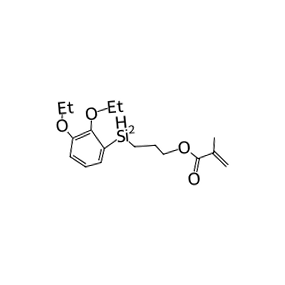 C=C(C)C(=O)OCCC[SiH2]c1cccc(OCC)c1OCC